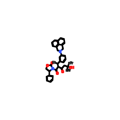 CCCC(O)(CCC)CC(=O)C(C(=O)N1C(=O)OCC1c1ccccc1)C(CC)c1cccc(N(Cc2ccccc2)Cc2ccccc2)c1